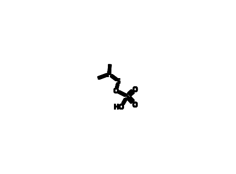 CP(C)SOS(=O)(=O)O